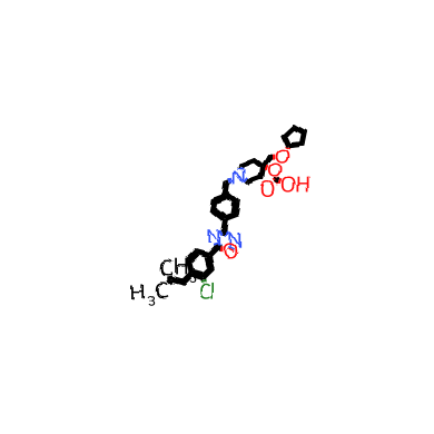 CC(C)Cc1ccc(-c2nc(-c3ccc(CN4CCC(COC5CCCC5)(OC(=O)O)CC4)cc3)no2)cc1Cl